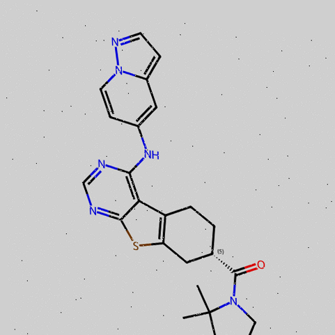 CC1(C)CCCN1C(=O)[C@H]1CCc2c(sc3ncnc(Nc4ccn5nccc5c4)c23)C1